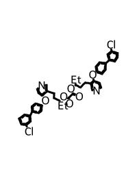 CCC(CCc1cnccc1Oc1ccc(-c2cccc(Cl)c2)cc1)OC(=O)C(=O)OC(CC)CCc1cnccc1Oc1ccc(-c2cccc(Cl)c2)cc1